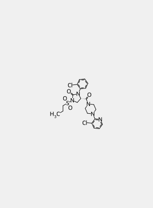 CCCS(=O)(=O)N1C[C@@H](C(=O)N2CCN(c3ncccc3Cl)CC2)N(c2ccccc2Cl)C1=O